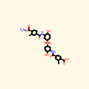 Cc1cc(C(=O)Nc2cc(S(=O)(=O)c3ccc(O)c(NC(=O)c4ccc(C(=O)ON)c(C)c4)c3)ccc2O)ccc1C(=O)O